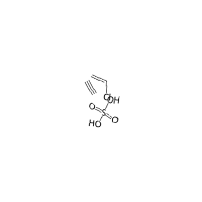 C#C.C=CCl.O=S(=O)(O)O